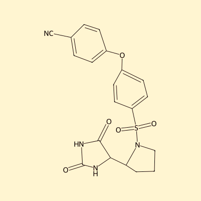 N#Cc1ccc(Oc2ccc(S(=O)(=O)N3CCCC3C3NC(=O)NC3=O)cc2)cc1